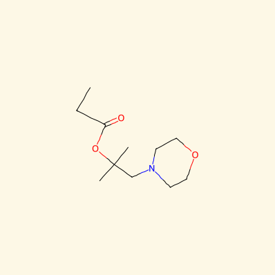 CCC(=O)OC(C)(C)CN1CCOCC1